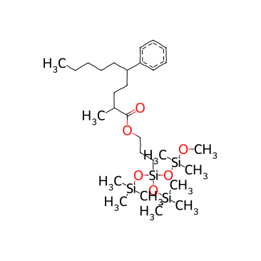 CCCCCC(CCC(C)C(=O)OCCC[Si](O[Si](C)(C)C)(O[Si](C)(C)C)O[Si](C)(C)OC)c1ccccc1